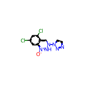 [O-][N+]1=c2cc(Cl)cc(Cl)c2=CN(n2ccnn2)N1